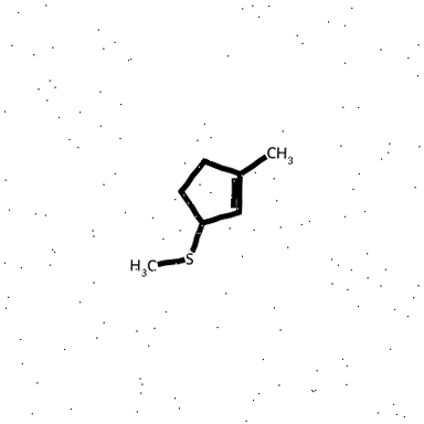 CSC1C=C(C)CC1